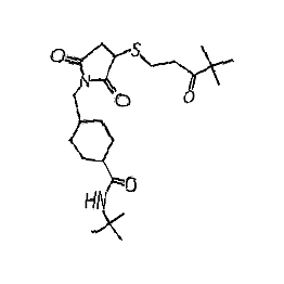 CC(C)(C)NC(=O)C1CCC(CN2C(=O)CC(SCCC(=O)C(C)(C)C)C2=O)CC1